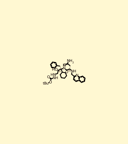 CC(C)(C)OC(=O)NNC[C@H](O)[C@@](Cc1ccccc1)(NC(=O)[C@H](CC(N)=O)NCc1ccc2ccccc2n1)C1CCCCC1